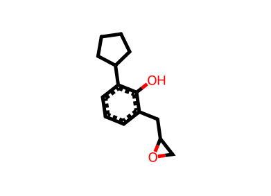 Oc1c(CC2CO2)cccc1C1CCCC1